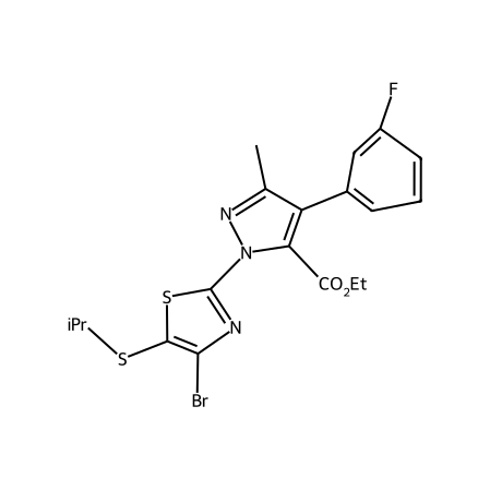 CCOC(=O)c1c(-c2cccc(F)c2)c(C)nn1-c1nc(Br)c(SC(C)C)s1